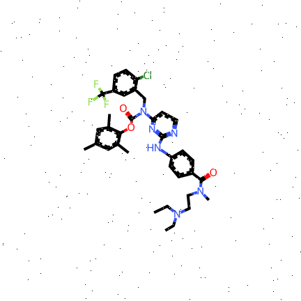 CCN(CC)CCN(C)C(=O)c1ccc(Nc2nccc(N(Cc3cc(C(F)(F)F)ccc3Cl)C(=O)Oc3c(C)cc(C)cc3C)n2)cc1